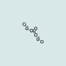 c1ccc(-c2ccc(-c3ccc(-n4c5ccccc5c5cc(-c6ccc(-c7ccccc7)s6)ccc54)cc3)s2)cc1